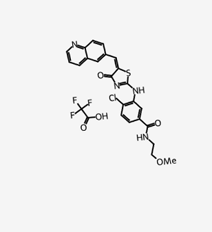 COCCNC(=O)c1ccc(Cl)c(NC2=NC(=O)C(=Cc3ccc4ncccc4c3)S2)c1.O=C(O)C(F)(F)F